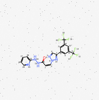 O=C(/C=C\n1ncc(-c2cc(C(F)(F)F)cc(C(F)(F)F)c2)n1)NNc1ccccn1